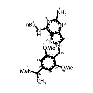 CCCCNc1nc(N)nc2cn(Cc3c(OC)cc(C(C)NC)cc3OC)nc12